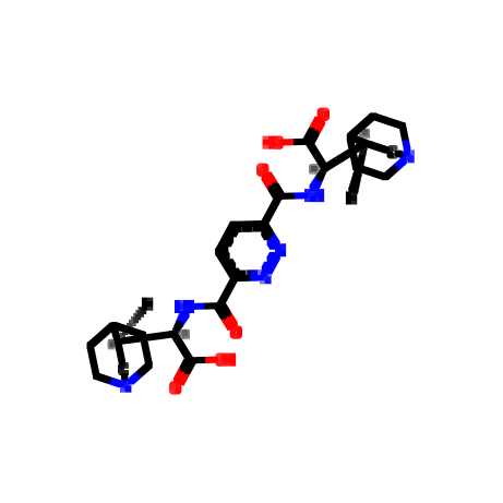 O=C(N[C@@H](C(=O)O)[C@H]1CN2CCC1CC2)c1ccc(C(=O)N[C@@H](C(=O)O)[C@H]2CN3CCC2CC3)nn1